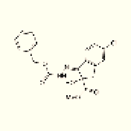 COC(=O)C1(O)Cc2cc(Cl)ccc2C1=NNC(=O)OCc1ccccc1